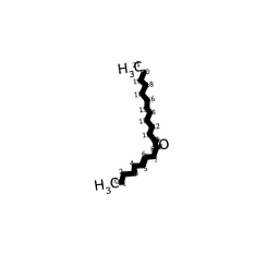 CCCCCC=CCC1OC1CCCCCCCCCCC